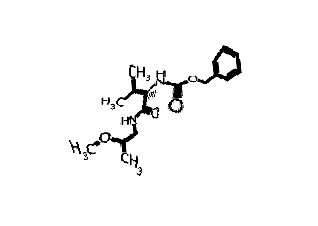 COC(C)CNC(=O)[C@H](NC(=O)OCc1ccccc1)C(C)C